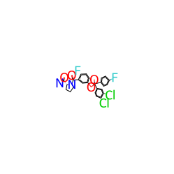 CN(C)C(=O)[C@H]1CCCN1C(=O)c1cc2c(cc1F)OC(c1ccc(F)cc1)(c1ccc(Cl)c(Cl)c1)O2